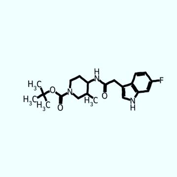 CC1CN(C(=O)OC(C)(C)C)CCC1NC(=O)Cc1c[nH]c2cc(F)ccc12